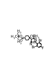 C/C(=N/Nc1c(Br)cc(F)cc1Br)C(C#N)C1(C)CCN(C(=O)OC(C)(C)C)CC1